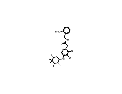 COc1ccccc1CNC(=O)Cn1ncc(N[C@@H]2C[C@H](C)C(C)(C)[C@H](C)[C@H]2C)c(Br)c1=O